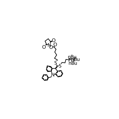 CCCC[PH](CCCC)(CCCC)CCCSC(SCCCCCC(=O)ON1C(=O)CCC1=O)=C1c2ccccc2N(Cc2ccccc2)c2ccccc21